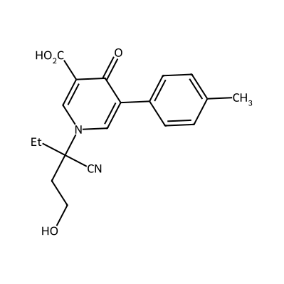 CCC(C#N)(CCO)n1cc(C(=O)O)c(=O)c(-c2ccc(C)cc2)c1